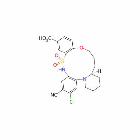 N#Cc1cc2c(cc1Cl)N1CCCC[C@@H]1CCCOc1ccc(C(=O)O)cc1S(=O)(=O)N2